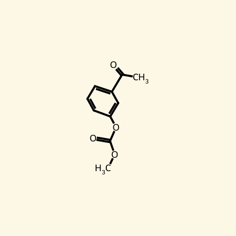 COC(=O)Oc1cccc(C(C)=O)c1